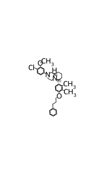 COc1cc(N2CCN3[C@@H](CCC[C@@H]3c3ccc(OCCCc4ccccc4)c(C)c3C)C2)ccc1Cl